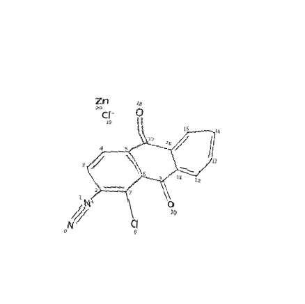 N#[N+]c1ccc2c(c1Cl)C(=O)c1ccccc1C2=O.[Cl-].[Zn]